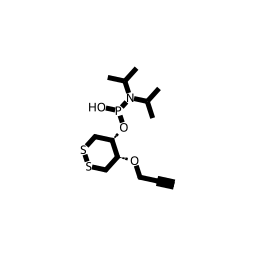 C#CCO[C@@H]1CSSC[C@@H]1OP(O)N(C(C)C)C(C)C